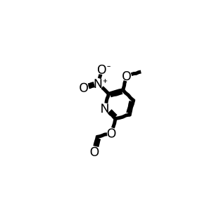 COc1ccc(OC=O)nc1[N+](=O)[O-]